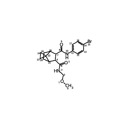 COCNC(=O)C1C(C(=O)Nc2ccc(Br)cc2)C2CCC1C21CC1